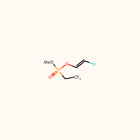 COP(=O)(CC(F)(F)F)OC=CF